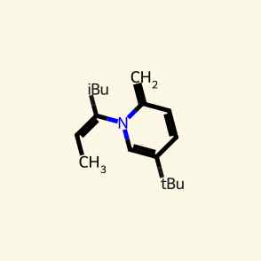 C=C1C=CC(C(C)(C)C)=CN1/C(=C\C)C(C)CC